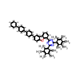 Bc1c(B)c(B)c(-c2nc(-c3c(B)c(B)c(B)c(B)c3B)nc(-c3cccc4c3oc3ccc(-c5ccc(-c6ccc(-c7ccccc7)cc6)cc5)cc34)n2)c(B)c1B